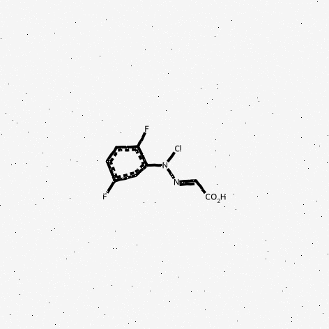 O=C(O)C=NN(Cl)c1cc(F)ccc1F